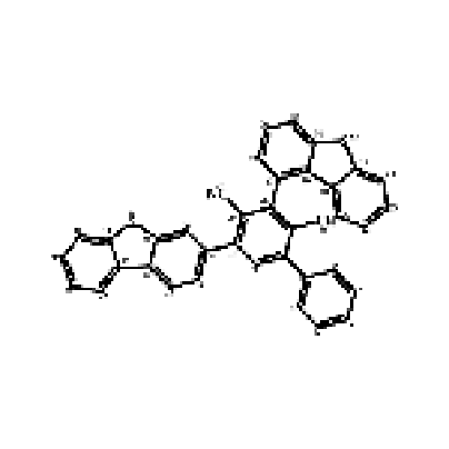 N#Cc1c(-c2ccccc2)cc(-c2ccc3c(c2)sc2ccccc23)c(C#N)c1-c1cccc2sc3ccccc3c12